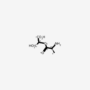 C[C@H](N)C(=O)OC(C(=O)O)C(=O)O